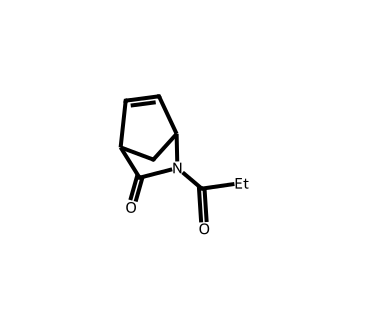 CCC(=O)N1C(=O)C2C=CC1C2